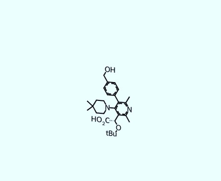 Cc1nc(C)c([C@H](OC(C)(C)C)C(=O)O)c(N2CCC(C)(C)CC2)c1-c1ccc(CO)cc1